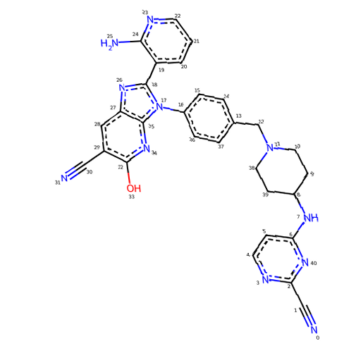 N#Cc1nccc(NC2CCN(Cc3ccc(-n4c(-c5cccnc5N)nc5cc(C#N)c(O)nc54)cc3)CC2)n1